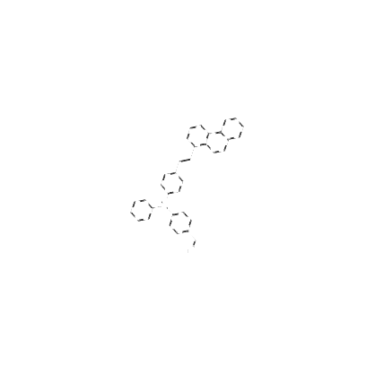 O=Cc1ccc(N(c2ccccc2)c2ccc(C=Cc3cccc4c3ccc3ccccc34)cc2)cc1